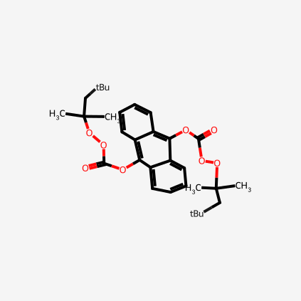 CC(C)(C)CC(C)(C)OOC(=O)Oc1c2ccccc2c(OC(=O)OOC(C)(C)CC(C)(C)C)c2ccccc12